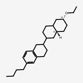 CCCCc1ccc2c(c1)CCC(C1CCC3C[C@H](OCC)CC[C@@H]3C1)C2